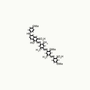 COc1ccc(Nc2ccc3c(O)c(N=Nc4cc(C)c(N=Nc5cc(C)c(N=Nc6ccc(OC)cc6S(=O)(=O)O)cc5OC)cc4C)c(S(=O)(=O)O)cc3c2)cc1